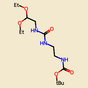 CCOC(CNC(=O)NCCNC(=O)OC(C)(C)C)OCC